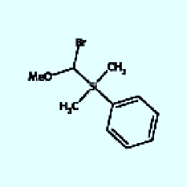 COC(Br)[Si](C)(C)c1ccccc1